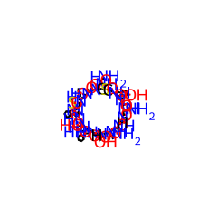 CCCC[C@H]1C(=O)N[C@@H](C)C(=O)NC(C(=O)NCC(N)=O)CSCC(=O)N[C@@H](Cc2ccc(O)cc2)C(=O)N(C)[C@@H](C)C(=O)N[C@@H](CC(N)=O)C(=O)N2CCC[C@H]2C(=O)N[C@@H](CN)C(=O)N[C@@H](CC(C)C)C(=O)N2C[C@H](O)C[C@H]2C(=O)N[C@@H](Cc2c[nH]c3ccccc23)C(=O)N[C@@H](CO)C(=O)N[C@@H](Cc2c[nH]c3ccccc23)C(=O)N(C)[C@@H](CCSC)C(=O)N1C